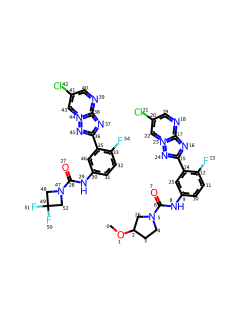 COC1CCN(C(=O)Nc2ccc(F)c(-c3nc4ncc(Cl)cn4n3)c2)C1.O=C(Nc1ccc(F)c(-c2nc3ncc(Cl)cn3n2)c1)N1CC(F)(F)C1